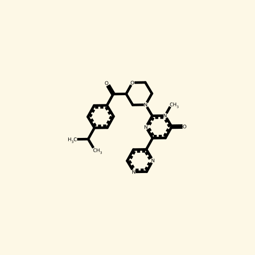 CC(C)c1ccc(C(=O)C2CN(c3nc(-c4ccncn4)cc(=O)n3C)CCO2)cc1